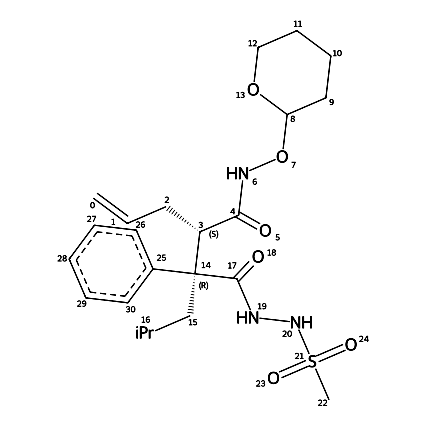 C=CC[C@H](C(=O)NOC1CCCCO1)[C@@](CC(C)C)(C(=O)NNS(C)(=O)=O)c1ccccc1